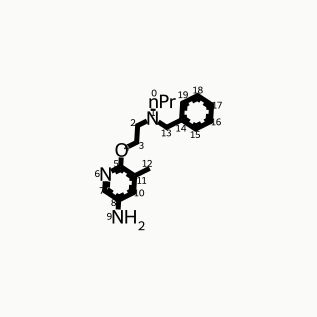 CCCN(CCOc1ncc(N)cc1C)Cc1ccccc1